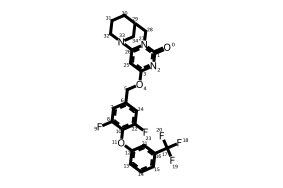 O=c1nc(OCc2cc(F)c(Oc3cccc(C(F)(F)F)c3)c(F)c2)cc2n1CC1CCCN2C1